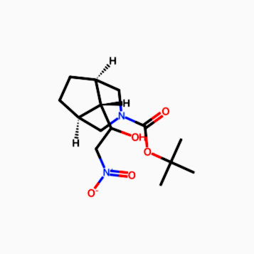 CC(C)(C)OC(=O)N1C[C@H]2CC[C@@H](C1)[C@@H]2C(O)C[N+](=O)[O-]